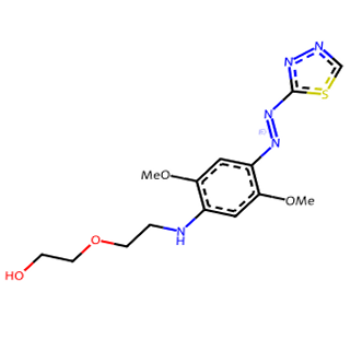 COc1cc(NCCOCCO)c(OC)cc1/N=N/c1nncs1